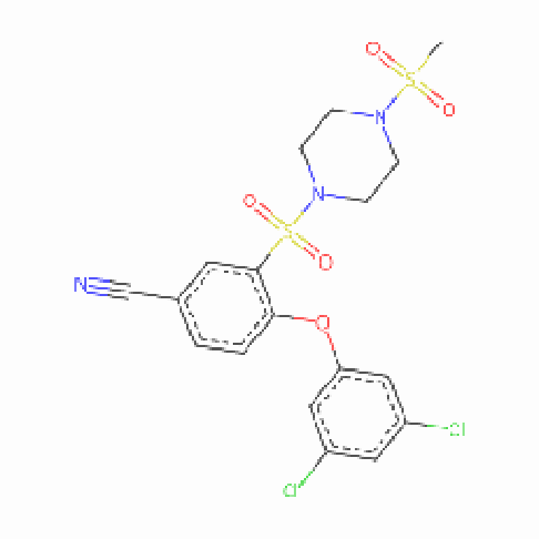 CS(=O)(=O)N1CCN(S(=O)(=O)c2cc(C#N)ccc2Oc2cc(Cl)cc(Cl)c2)CC1